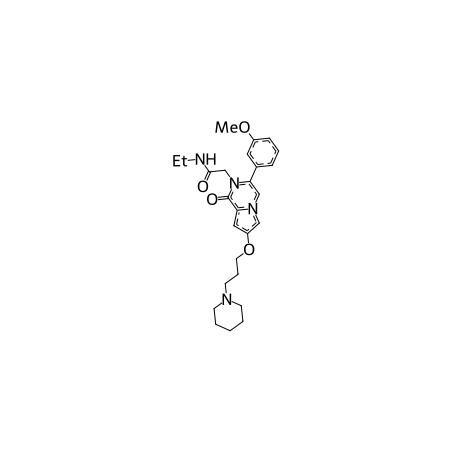 CCNC(=O)Cn1c(-c2cccc(OC)c2)cn2cc(OCCCN3CCCCC3)cc2c1=O